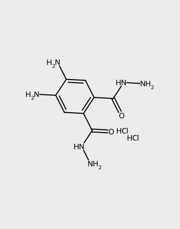 Cl.Cl.NNC(=O)c1cc(N)c(N)cc1C(=O)NN